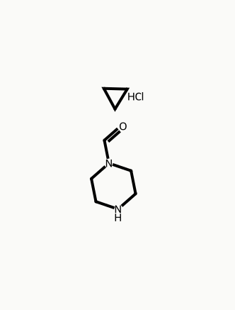 C1CC1.Cl.O=CN1CCNCC1